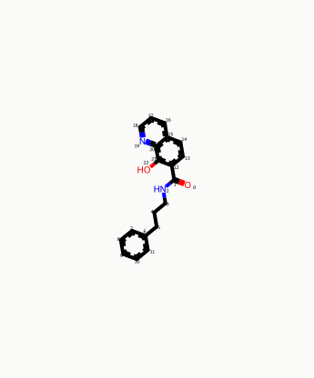 O=C(NCCCc1ccccc1)c1ccc2cccnc2c1O